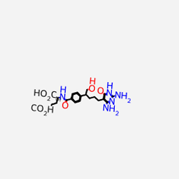 Nc1nc(N)c(CCCC(CO)c2ccc(C(=O)N[C@@H](CCC(=O)O)C(=O)O)cc2)c(=O)[nH]1